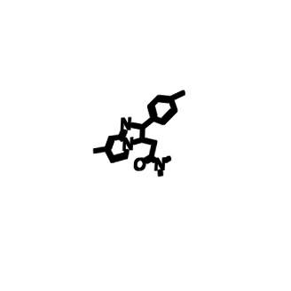 CC1=CC2=NC(c3ccc(C)cc3)C(CC(=O)N(C)C)N2C=C1